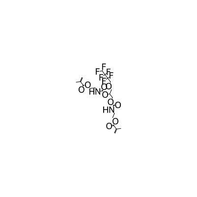 C=C(C)C(=O)OCCNC(=O)OCC(COCC(F)(F)C(F)(F)C(F)F)OC(=O)NCCOC(=O)C(=C)C